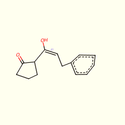 O=C1CCCC1/C(O)=C\Cc1ccccc1